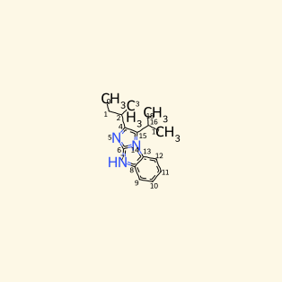 CCC(C)c1nc2[nH]c3ccccc3n2c1C(C)C